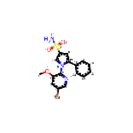 COc1cc(Br)cnc1-n1cc(S(N)(=O)=O)cc1-c1ccccc1